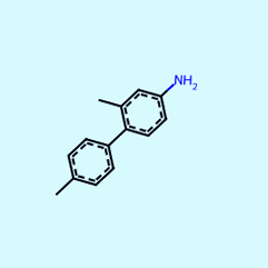 Cc1ccc(-c2ccc(N)cc2C)cc1